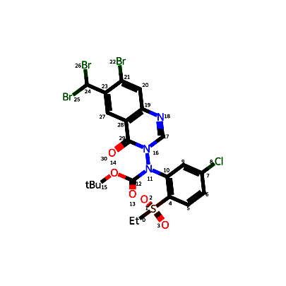 CCS(=O)(=O)c1ccc(Cl)cc1N(C(=O)OC(C)(C)C)n1cnc2cc(Br)c(C(Br)Br)cc2c1=O